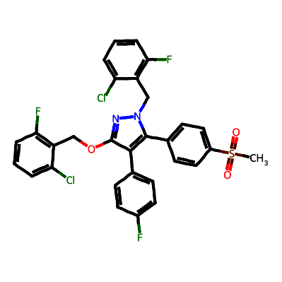 CS(=O)(=O)c1ccc(-c2c(-c3ccc(F)cc3)c(OCc3c(F)cccc3Cl)nn2Cc2c(F)cccc2Cl)cc1